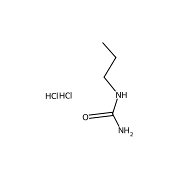 CCCNC(N)=O.Cl.Cl